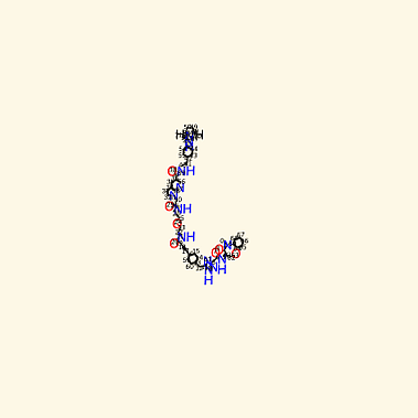 CN1C(=O)[C@@H](NC(=O)c2n[nH]c(Cc3ccc(C#CC(=O)NCCOCCNC(=O)Cn4ccc5cc(C(=O)NCCc6ccc(N7C[C@H]8CC[C@@H](C7)N8)cc6)cnc54)cc3)n2)COc2ccccc21